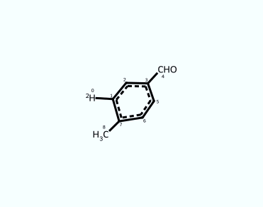 [2H]c1cc(C=O)ccc1C